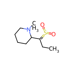 CCC(C1CCCCN1C)=S(=O)=O